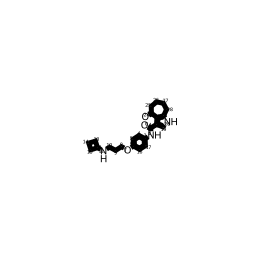 O=C(Nc1ccc(OCCCNC2CCC2)cc1)c1c[nH]c2c1C(=O)CCCC2